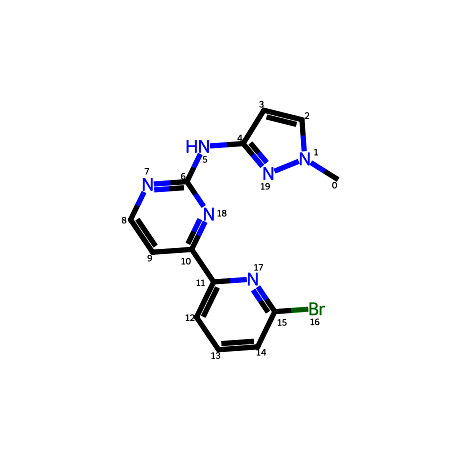 Cn1ccc(Nc2nccc(-c3cccc(Br)n3)n2)n1